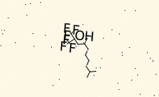 CC(C)CCCCC(C)CC(O)(C(F)(F)F)C(F)(F)F